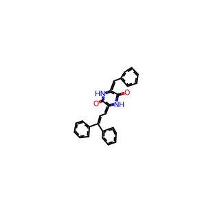 O=c1[nH]c(=Cc2ccccc2)c(=O)[nH]c1=CC=C(c1ccccc1)c1ccccc1